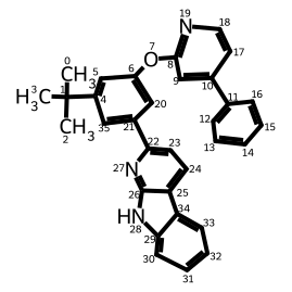 CC(C)(C)c1cc(Oc2cc(-c3ccccc3)ccn2)cc(-c2ccc3c(n2)[nH]c2ccccc23)c1